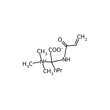 C=CC(=O)NC(CCC)(C(=O)[O-])[N+](C)(C)C